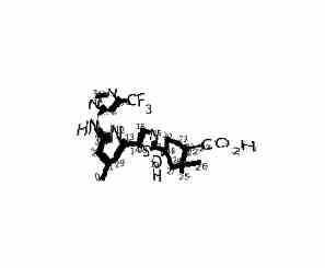 Cc1cc(Nc2cc(C(F)(F)F)ncn2)nc(-c2cnc([C@]3(O)CC[C@@H](C(=O)O)C(C)(C)C3)s2)c1